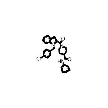 O=C(Nc1ccccc1)C1CCN(C(=O)c2cc3ccccc3n2Cc2ccc(Cl)cc2)CC1